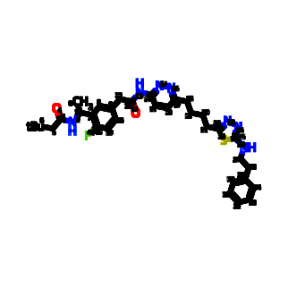 CC(NC(=O)CC(C)(C)C)c1cc(CC(=O)Nc2ccc(CCCCc3nnc(NCCc4ccccc4)s3)nn2)ccc1F